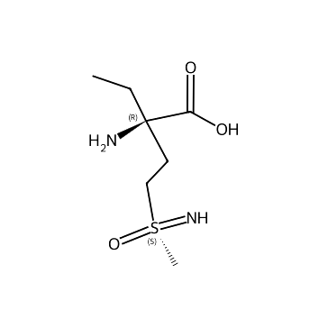 CC[C@@](N)(CC[S@@](C)(=N)=O)C(=O)O